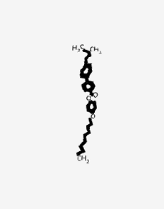 C=CCCCCCCCCOc1ccc(OC(=O)c2ccc(-c3ccc(CC[C@@H](C)CC)cc3)cc2)cc1